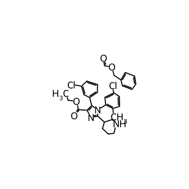 CCOC(=O)c1nc(C2CCCNC2)n(-c2cc(Cl)ccc2C)c1-c1cccc(Cl)c1.O=COCc1ccccc1